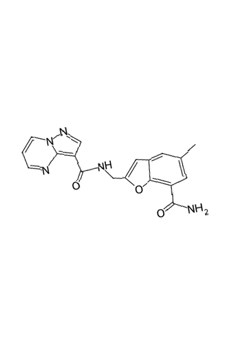 Cc1cc(C(N)=O)c2oc(CNC(=O)c3cnn4cccnc34)cc2c1